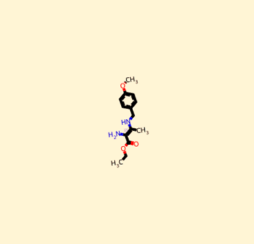 CCOC(=O)/C(N)=C(\C)NCc1ccc(OC)cc1